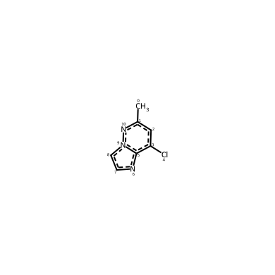 Cc1cc(Cl)c2nccn2n1